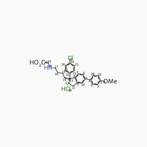 COc1ccc(-c2ccc3c(c2)CC[C@]3(CCCCNCC(=O)O)c2ccc(Cl)cc2)cc1.Cl